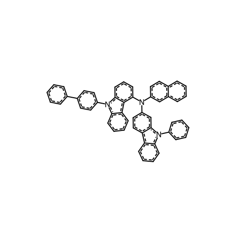 c1ccc(-c2ccc(-n3c4ccccc4c4c(N(c5ccc6ccccc6c5)c5ccc6c7ccccc7n(-c7ccccc7)c6c5)cccc43)cc2)cc1